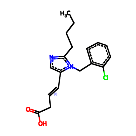 CCCCc1ncc(/C=C/CC(=O)O)n1Cc1ccccc1Cl